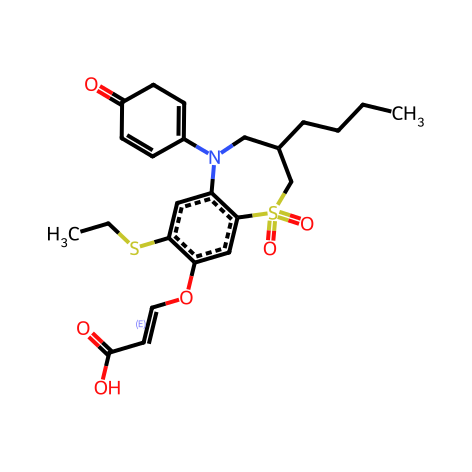 CCCCC1CN(C2=CCC(=O)C=C2)c2cc(SCC)c(O/C=C/C(=O)O)cc2S(=O)(=O)C1